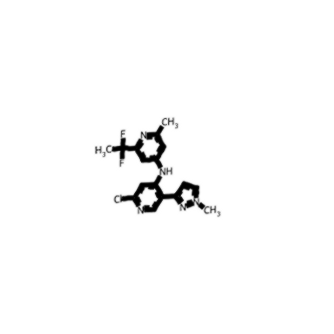 Cc1cc(Nc2cc(Cl)ncc2-c2ccn(C)n2)cc(C(C)(F)F)n1